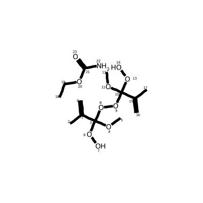 C=C(C)C(OC)(OO)OOC(OC)(OO)C(=C)C.CCOC(N)=O